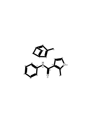 Cc1cc2cc(c1)C2.Cc1occc1C(=O)Nc1ccccc1